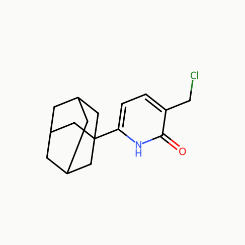 O=c1[nH]c(C23CC4CC(CC(C4)C2)C3)ccc1CCl